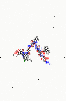 CC[C@@]1(O)C(=O)OCc2c1cc1n(c2=O)Cc2c-1nc1cc(F)c(C)c3c1c2[C@@H](NC(=O)C12CC(OCNC(=O)CNC(=O)[C@H](Cc4ccccc4)NC(=O)CNC(=O)CNC(=O)[C@H](CCC(=O)NC[C@H]4O[C@@H](CC(N)=O)[C@H](O)[C@@H]4O)NC(=O)OCC4c5ccccc5-c5ccccc54)(C1)C2)CC3